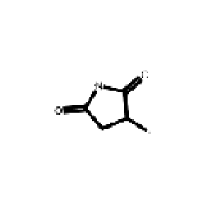 O=C1CC(F)C(=O)[N]1